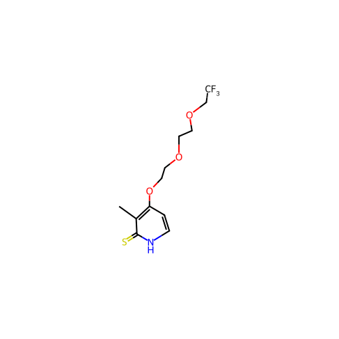 Cc1c(OCCOCCOCC(F)(F)F)cc[nH]c1=S